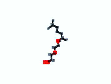 CC(C)CCCC(C)OCCOCCO